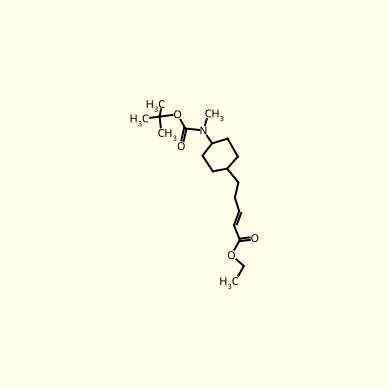 CCOC(=O)C=CCCC1CCC(N(C)C(=O)OC(C)(C)C)CC1